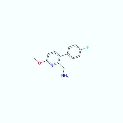 COc1ccc(-c2ccc(F)cc2)c(CN)n1